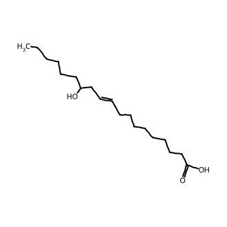 CCCCCCC(O)CC=CCCCCCCCCC(=O)O